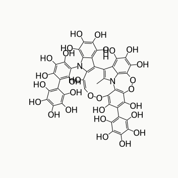 Cc1c2c3c(O)c(O)c(O)c4ooc5c(O)c(-c6c(O)c(O)c(O)c(O)c6O)c(O)c(oocc(O)c6c2c2c(O)c(O)c(O)c(O)c2n6-c2c(O)c(O)c(O)c(-c6c(O)c(O)c(O)c(O)c6O)c2O)c5n1c43